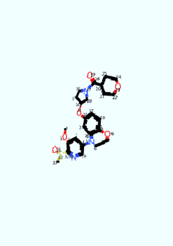 COc1cc(N2CCOc3ccc(O[C@H]4CCN(C(=O)C5CCOCC5)C4)cc32)cnc1[S+](C)[O-]